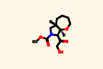 CC(C)(C)OC(=O)N1C[C@@H]2CCCCO[C@H]2[C@H]1C(=O)CO